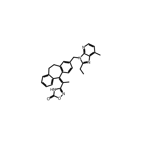 CCc1nc2c(C)ccnc2n1Cc1ccc2c(c1)CCc1ccccc1/C2=C(/C)c1noc(=O)[nH]1